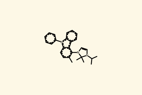 Cc1ccc2c(c1N1C=CN(C(C)C)C1(C)C)c1ccccc1n2-c1ccccc1